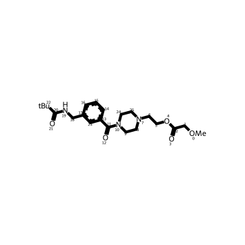 COCC(=O)OCCN1CCN(C(=O)c2cccc(CNC(=O)C(C)(C)C)c2)CC1